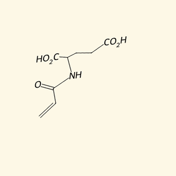 C=CC(=O)NC(CCC(=O)O)C(=O)O